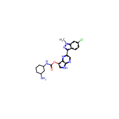 Cn1nc(-c2cnc3[nH]cc(OC(=O)NC4CCCC(N)C4)c3n2)c2ccc(Cl)cc21